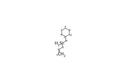 C=CC[SiH2]CC1CCCCC1